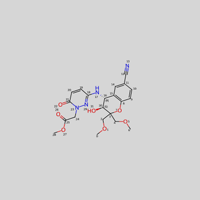 COCC1(COC)Oc2ccc(C#N)cc2[C@@H](Nc2ccc(=O)n(CC(=O)OC)n2)[C@@H]1O